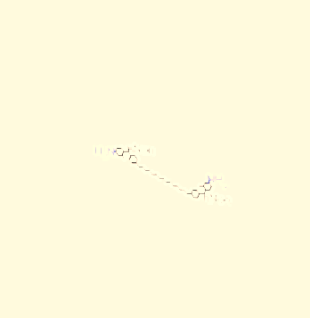 CCCCCCCCCC(c1ccc(CCCCCCCCCCCCCCCc2ccc(C(CCCCCCCCC)c3ccc(N)cc3C)cc2)cc1)c1ccc(N)cc1C